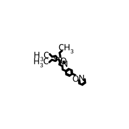 CCC[CH2][Sn]([CH2]CCC)([CH2]CCC)[c]1cc(Cc2ccc(COc3ccccn3)cc2)no1